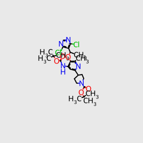 Cc1nc(C2CCN(C(=O)OC(C)(C)C)CC2)cc(NC(=O)OC(C)(C)C)c1OC(C)c1c(Cl)ncnc1Cl